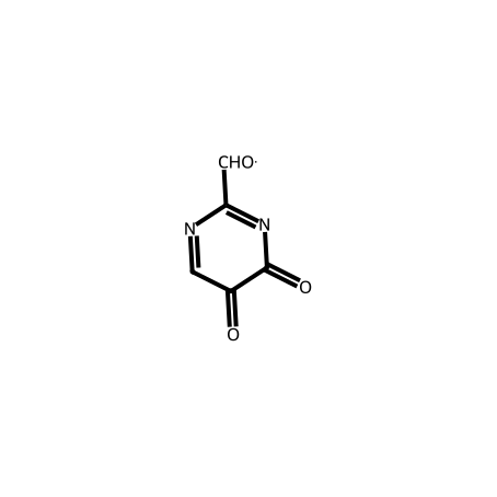 O=[C]C1=NC(=O)C(=O)C=N1